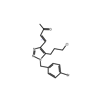 CC(=O)/C=C/c1nnn(Cc2ccc(Br)cc2)c1CCCCl